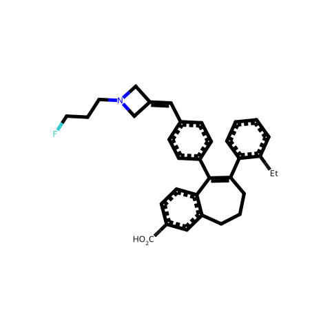 CCc1ccccc1C1=C(c2ccc(C=C3CN(CCCF)C3)cc2)c2ccc(C(=O)O)cc2CCC1